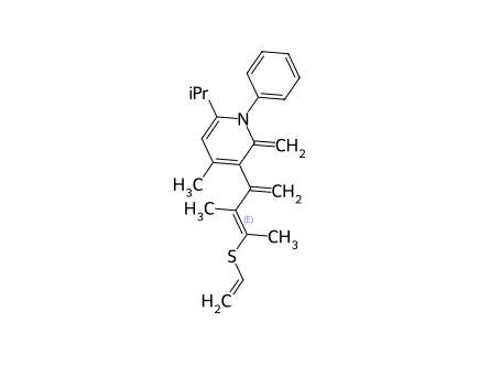 C=CS/C(C)=C(\C)C(=C)C1=C(C)C=C(C(C)C)N(c2ccccc2)C1=C